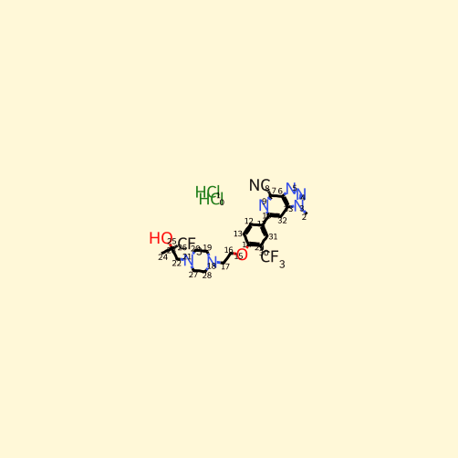 Cl.Cl.Cn1nnc2c(C#N)nc(-c3ccc(OCCN4CCN(CC(C)(O)C(F)(F)F)CC4)c(C(F)(F)F)c3)cc21